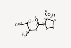 CCCC(=O)C(CC(=O)N1CCC[C@H]1C(=O)O)C(F)(F)F